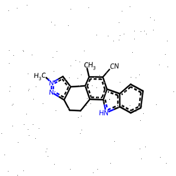 Cc1c2c(c3[nH]c4ccccc4c3c1C#N)CCc1nn(C)cc1-2